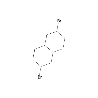 BrC1CCC2CC(Br)CCC2C1